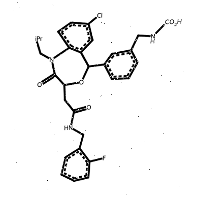 CC(C)CN1C(=O)C(CC(=O)NCc2ccccc2F)OC(c2cccc(CNC(=O)O)c2)c2cc(Cl)ccc21